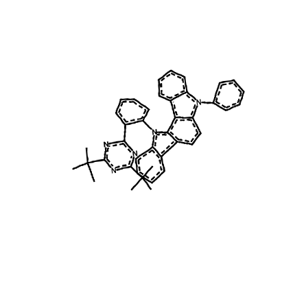 CC(C)(C)c1nc(-c2ccccc2-n2c3ccccc3c3ccc4c(c5ccccc5n4-c4ccccc4)c32)nc(C(C)(C)C)n1